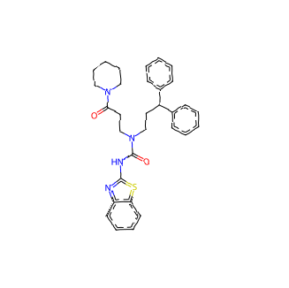 O=C(CCN(CCC(c1ccccc1)c1ccccc1)C(=O)Nc1nc2ccccc2s1)N1CCCCC1